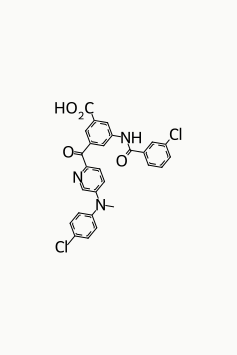 CN(c1ccc(Cl)cc1)c1ccc(C(=O)c2cc(NC(=O)c3cccc(Cl)c3)cc(C(=O)O)c2)nc1